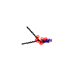 CCCCCCCCCCCCCCCC(=O)OC[C@H](COP(=O)(O)O[C@H]1C[C@H](n2cc(C)c(=O)[nH]c2=O)O[C@@H]1CO)OC(=O)CCCCCCCCCCCCCCC